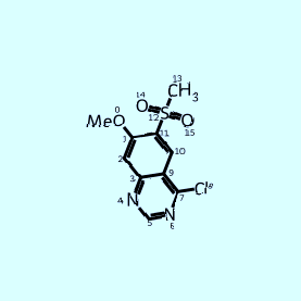 COc1cc2ncnc(Cl)c2cc1S(C)(=O)=O